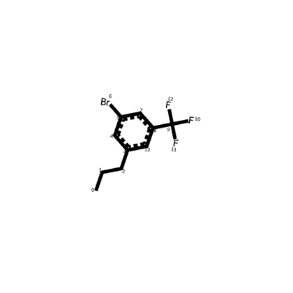 CCCc1cc(Br)cc(C(F)(F)F)c1